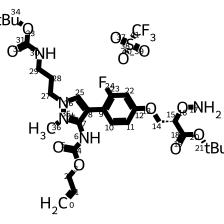 C=CCOC(=O)Nc1c(-c2ccc(OC[C@H](ON)C(=O)OC(C)(C)C)cc2F)cn(CCCNC(=O)OC(C)(C)C)[n+]1C.O=S(=O)([O-])C(F)(F)F